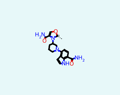 C[C@H]1OC=C(C(N)=O)N1C1CCCN(c2ccc(C(N)=O)c3[nH]ccc23)C1